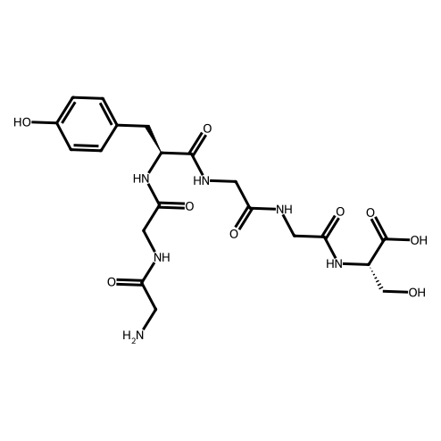 NCC(=O)NCC(=O)N[C@@H](Cc1ccc(O)cc1)C(=O)NCC(=O)NCC(=O)N[C@@H](CO)C(=O)O